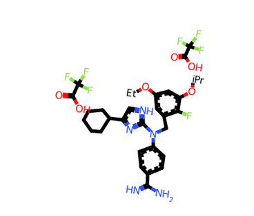 CCOc1cc(CN(c2ccc(C(=N)N)cc2)c2nc(C3CCCCC3)c[nH]2)c(F)c(OC(C)C)c1.O=C(O)C(F)(F)F.O=C(O)C(F)(F)F